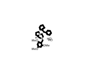 COc1cc(OC)c(CN2C[C@@H]3CCCN3[C@H](C(c3ccccc3)c3ccccc3)C2)c(OC)c1.Cl.Cl